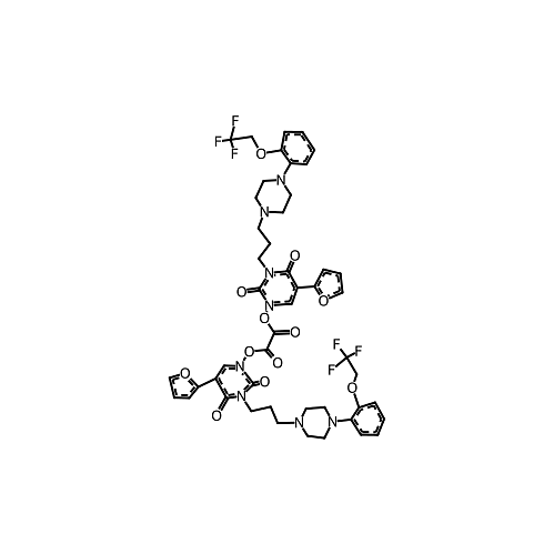 O=C(On1cc(-c2ccco2)c(=O)n(CCCN2CCN(c3ccccc3OCC(F)(F)F)CC2)c1=O)C(=O)On1cc(-c2ccco2)c(=O)n(CCCN2CCN(c3ccccc3OCC(F)(F)F)CC2)c1=O